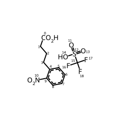 O=C(O)CCCc1ccccc1[N+](=O)[O-].O=S(=O)(O)C(F)(F)F